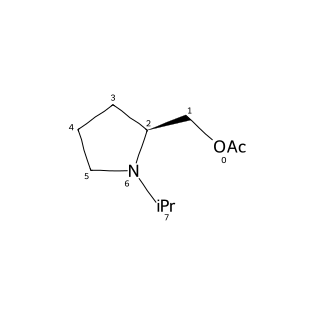 CC(=O)OC[C@@H]1CCCN1C(C)C